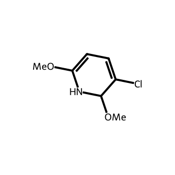 CO[C]1NC(OC)=CC=C1Cl